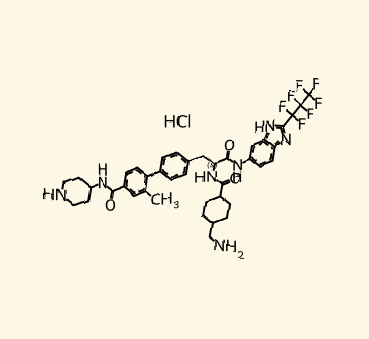 Cc1cc(C(=O)NC2CCNCC2)ccc1-c1ccc(C[C@H](NC(=O)C2CCC(CN)CC2)C(=O)Nc2ccc3nc(C(F)(F)C(F)(F)C(F)(F)F)[nH]c3c2)cc1.Cl